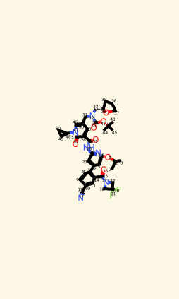 CC(C)Oc1cc(-c2ccc(C#N)cc2C(=O)N2CC(F)(F)C2)cc(NC(=O)c2cc(CN(C[C@@H]3CCCO3)C(=O)OC(C)(C)C)cn(C3CC3)c2=O)n1